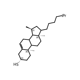 CC(C)CCCCC1C[C@H](C)C2C3CC=C4C[C@@H](S)CC[C@]4(C)C3CC[C@]12C